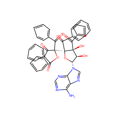 Nc1ncnc2c1ncn2[C@@H]1O[C@](C(=O)c2ccccc2)(C(OC(=O)c2ccccc2)(C(=O)c2ccccc2)C(=O)c2ccccc2)[C@](O)(C(=O)c2ccccc2)[C@H]1O